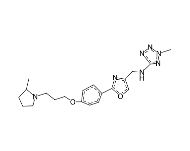 CC1CCCN1CCCOc1ccc(-c2nc(CNc3nnn(C)n3)co2)cc1